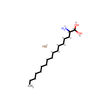 Br.CCCCCCCCCCCCCCCC(N)C(O)O